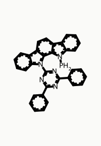 Pn1c2ccccc2c2ccc3c4ccccc4n(-c4nc(-c5ccccc5)nc(-c5ccccc5)n4)c3c21